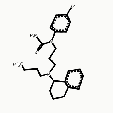 NC(=S)N(CCCN(CCCC(=O)O)[C@@H]1CCCc2ccccc21)c1ccc(Br)cc1